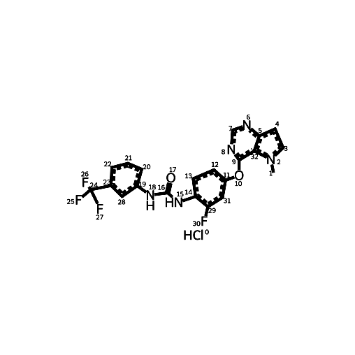 Cl.Cn1ccc2ncnc(Oc3ccc(NC(=O)Nc4cccc(C(F)(F)F)c4)c(F)c3)c21